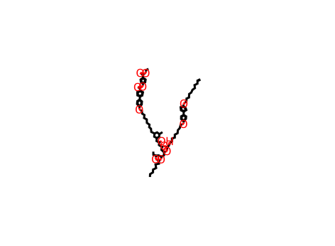 C=CCCCCCCCCCOc1ccc(-c2ccc(OCCCCCCCCCCC3OC(CC(O)CC4CC(C)CC(CCCCCCCCCCOc5ccc(-c6ccc(C(=O)Oc7ccc(C(=O)OCC)cc7)cc6)cc5)C4)CC(CC4CC(CC)OC(CCCCCCC)O4)O3)cc2)cc1